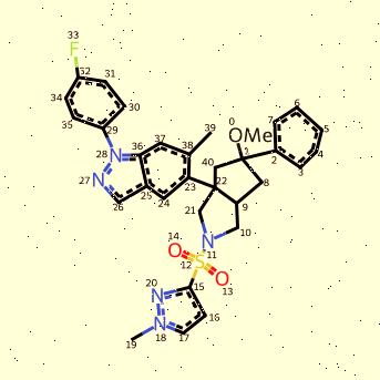 COC1(c2ccccc2)CC2CN(S(=O)(=O)c3ccn(C)n3)CC2(c2cc3cnn(-c4ccc(F)cc4)c3cc2C)C1